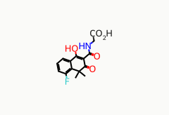 CC1(C)C(=O)C(C(=O)NCC(=O)O)=C(O)c2cccc(F)c21